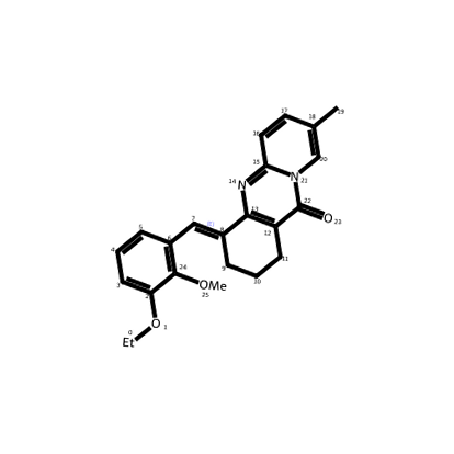 CCOc1cccc(/C=C2\CCCc3c2nc2ccc(C)cn2c3=O)c1OC